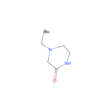 CCC(C)CN1CCNC(=O)C1